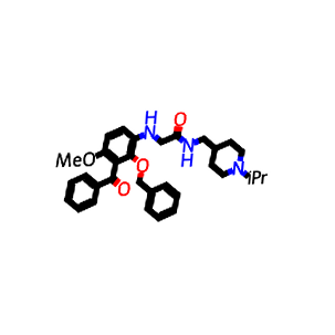 COc1ccc(NCC(=O)NCC2CCN(C(C)C)CC2)c(OCc2ccccc2)c1C(=O)c1ccccc1